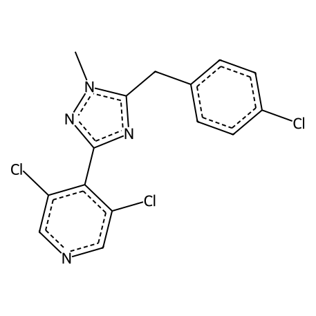 Cn1nc(-c2c(Cl)cncc2Cl)nc1Cc1ccc(Cl)cc1